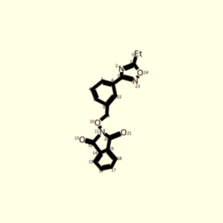 CCc1nc(-c2cccc(CON3C(=O)c4ccccc4C3=O)c2)no1